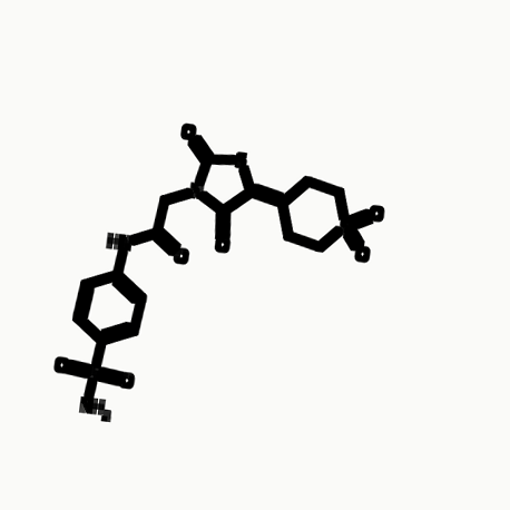 NS(=O)(=O)c1ccc(NC(=O)CN2C(=O)SC(=C3CCS(=O)(=O)CC3)C2=O)cc1